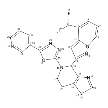 FC(F)c1cccn2nc(C3c4nc[nH]c4CCN3c3nnc(-c4cccnc4)o3)cc12